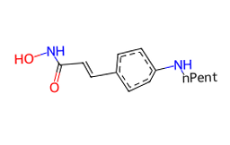 CCCCCNc1ccc(C=CC(=O)NO)cc1